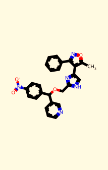 Cc1onc(-c2ccccc2)c1-c1c[nH]c(COC(c2ccc([N+](=O)[O-])cc2)c2cccnc2)n1